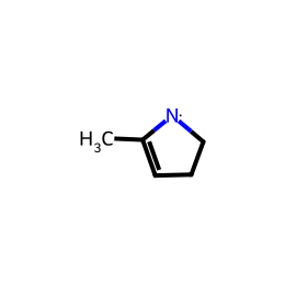 CC1=CCC[N]1